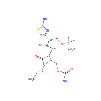 CC(C)(ON=C(C(=O)NC1C(=O)N(OCC(=O)O)C1COC(N)=O)c1csc(N)n1)C(=O)O